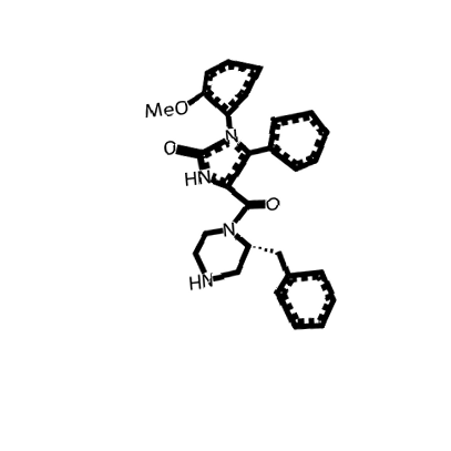 COc1ccccc1-n1c(-c2ccccc2)c(C(=O)N2CCNC[C@H]2Cc2ccccc2)[nH]c1=O